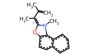 C=C(C)/C(C)=C1/Oc2ccc3ccccc3c2N1C